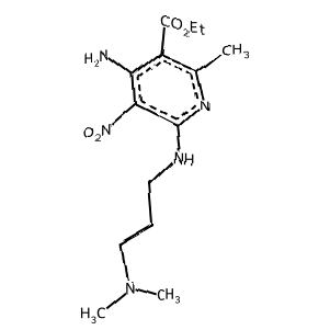 CCOC(=O)c1c(C)nc(NCCCN(C)C)c([N+](=O)[O-])c1N